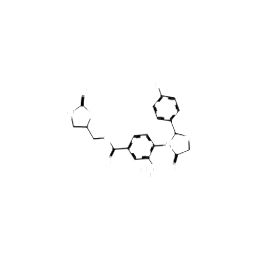 Cc1cc(C(=O)OCC2COC(=O)O2)ccc1N1C(=O)CSC1c1ccc(F)cc1